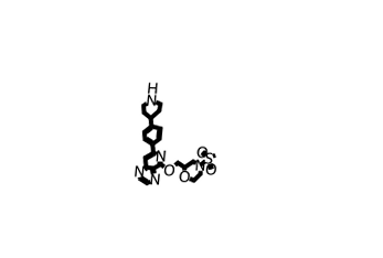 CS(=O)(=O)N1CCOC(COc2nc(-c3ccc(C4CCNCC4)cc3)cc3nccnc23)C1